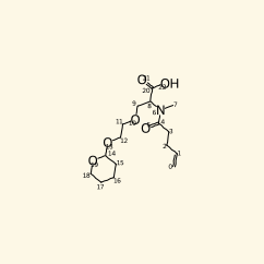 C=CCCC(=O)N(C)C(COCCOC1CCCCO1)C(=O)O